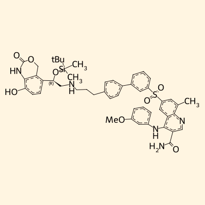 COc1cccc(Nc2c(C(N)=O)cnc3c(C)cc(S(=O)(=O)c4cccc(-c5ccc(CCCNC[C@H](O[Si](C)(C)C(C)(C)C)c6ccc(O)c7c6COC(=O)N7)cc5)c4)cc23)c1